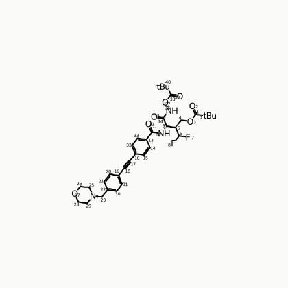 CC(C)(C)C(=O)OC[C@@H](C(F)F)[C@H](NC(=O)c1ccc(C#Cc2ccc(CN3CCOCC3)cc2)cc1)C(=O)NOC(=O)C(C)(C)C